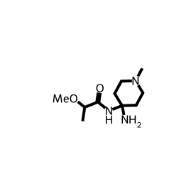 COC(C)C(=O)NC1(N)CCN(C)CC1